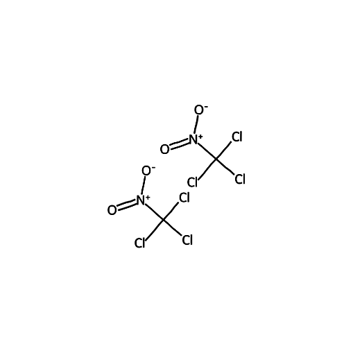 O=[N+]([O-])C(Cl)(Cl)Cl.O=[N+]([O-])C(Cl)(Cl)Cl